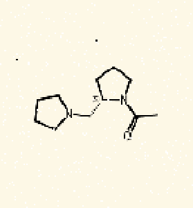 CC(=O)N1CCC[C@H]1CN1CCCC1